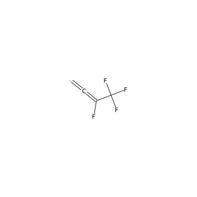 [CH]=C=C(F)C(F)(F)F